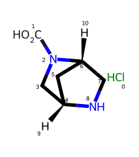 Cl.O=C(O)N1C[C@@H]2C[C@H]1CN2